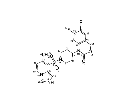 CC1=C(S(=O)(=O)N2CCC(N3C(=O)OCc4cc(F)c(F)cc43)CC2)C2=CNSN2C=C1